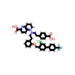 O=C(O)c1ccc(CCN(CCc2ccccc2OCc2ccc(-c3ccc(C(F)(F)F)cc3)cc2Cl)N2CCCc3nc(C(=O)O)ccc32)cc1